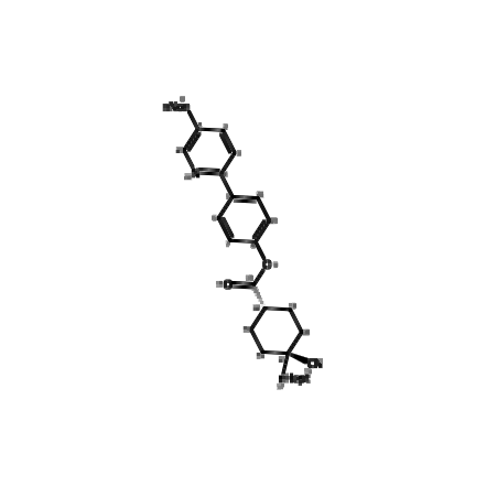 CCCCCCCCCc1ccc(-c2ccc(OC(=O)[C@H]3CC[C@@](C#N)(CCCCCCC)CC3)cc2)nc1